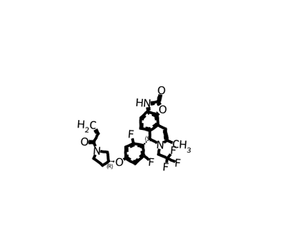 C=CC(=O)N1CC[C@@H](Oc2cc(F)c([C@@H]3c4ccc5[nH]c(=O)oc5c4C=C(C)N3CC(F)(F)F)c(F)c2)C1